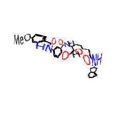 COc1ccc(C(=O)Nc2ccc3c(c2)C(=O)N(C)[C@H]2CC[C@@H](CC(=O)NC4Cc5ccccc5C4)O[C@H]2CO3)cc1